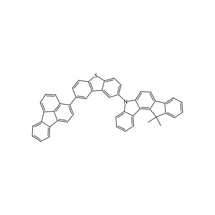 CC1(C)c2ccccc2-c2ccc3c(c21)c1ccccc1n3-c1ccc2sc3ccc(-c4ccc5c6c(cccc46)-c4ccccc4-5)cc3c2c1